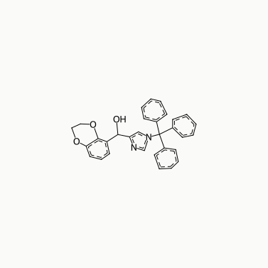 OC(c1cn(C(c2ccccc2)(c2ccccc2)c2ccccc2)cn1)c1cccc2c1OCCO2